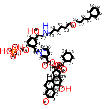 C[C@]12C=CC(=O)C=C1CC[C@@H]1[C@@H]2[C@@H](O)C[C@@]2(C)[C@H]1C[C@H]1O[C@@H](C3CCCCC3)O[C@]12C(=O)COC(=O)c1ccc[n+](Cc2cc(C(O)CNCCCCCCOCCCCc3ccccc3)ccc2OCOP(=O)(O)O)c1